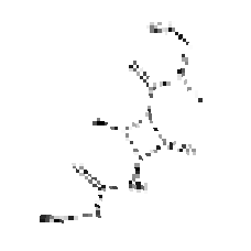 C/C(=C/C(=O)O)C(=O)N1C(=O)[C@@H](NC(=O)OC(C)(C)C)[C@H]1C